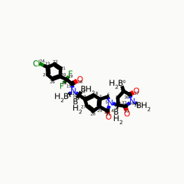 BC1C[C@@](B)(N2Cc3cc(C(B)(B)N(B)C(=O)C(F)(F)c4ccc(Cl)cc4)ccc3C2=O)C(=O)N(B)C1=O